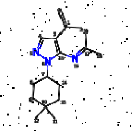 C=C(C)c1cnn(C2CCC(C)(C)CC2)c1N=C(C)C